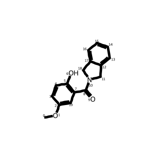 COc1ccc(O)c(C(=O)N2Cc3ccccc3C2)c1